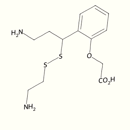 NCCSSC(CCN)c1ccccc1OCC(=O)O